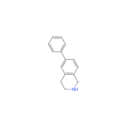 [CH]1NCCc2cc(-c3ccccc3)ccc21